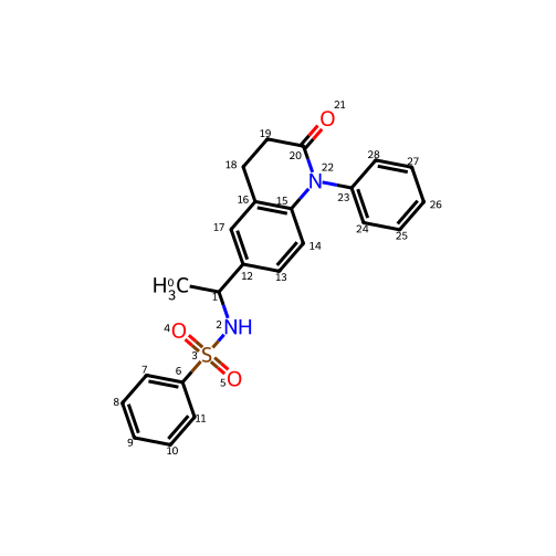 CC(NS(=O)(=O)c1ccccc1)c1ccc2c(c1)CCC(=O)N2c1ccccc1